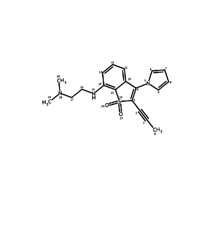 CC#CC1=C(n2cccc2)c2cccc(NCCN(C)C)c2S1(=O)=O